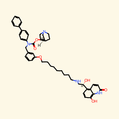 O=C(O[C@H]1CN2CCC1CC2)N(Cc1cccc(OCCCCCCCCCNC[C@H](O)c2ccc(O)c3[nH]c(=O)ccc23)c1)c1ccc(-c2ccccc2)cc1